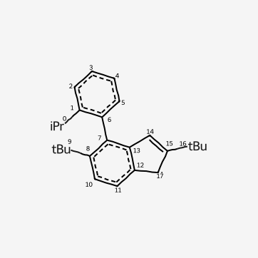 CC(C)c1ccccc1-c1c(C(C)(C)C)ccc2c1C=C(C(C)(C)C)[CH]2